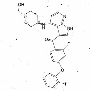 O=C(c1ccc(Oc2ccccc2F)cc1F)c1c[nH]c2nccc(N[C@@H]3CC[C@@H](CO)OC3)c12